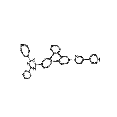 c1ccc(-c2nc(-c3ccccc3)nc(-c3ccc4c5ccc(-c6ccc(-c7ccncc7)cn6)cc5c5ccccc5c4c3)n2)cc1